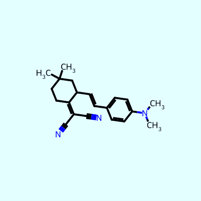 CN(C)c1ccc(C=CC2CC(C)(C)CCC2=C(C#N)C#N)cc1